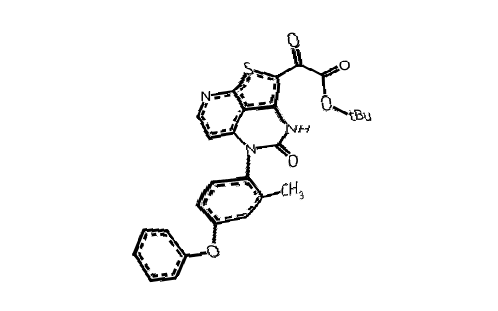 Cc1cc(Oc2ccccc2)ccc1N1C(=O)Nc2c(C(=O)C(=O)OC(C)(C)C)sc3nccc1c23